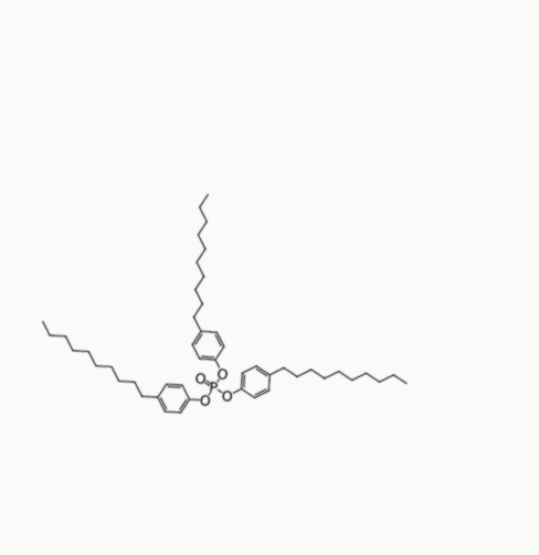 CCCCCCCCCCc1ccc(OP(=O)(Oc2ccc(CCCCCCCCCC)cc2)Oc2ccc(CCCCCCCCCC)cc2)cc1